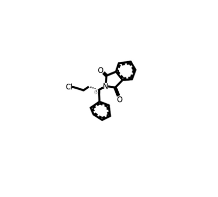 O=C1c2ccccc2C(=O)N1[C@@H](CCCl)c1ccccc1